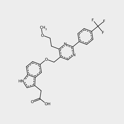 COCCc1nc(-c2ccc(C(F)(F)F)cc2)ncc1COc1ccc2[nH]cc(CC(=O)O)c2c1